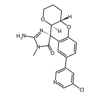 CN1C(=O)[C@]2(N=C1N)c1cc(-c3cncc(Cl)c3)ccc1O[C@H]1CCCO[C@@H]12